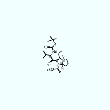 CCC1[C@@H]2CCC[C@@H]2[C@@H](C(=O)O)N1C(=O)[C@@H](NC(=O)OC(C)(C)C)C(C)C